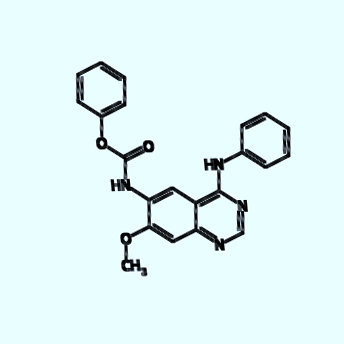 COc1cc2ncnc(Nc3ccccc3)c2cc1NC(=O)Oc1ccccc1